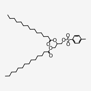 CCCCCCCCCCCCCC(=O)OCC(COS(=O)(=O)c1ccc(C)cc1)OC(=O)CCCCCCCCCCCCC